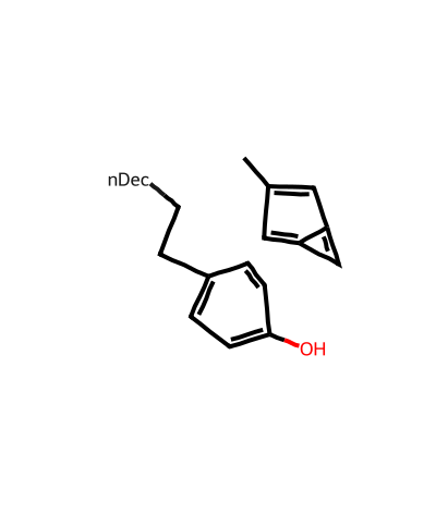 CCCCCCCCCCCCc1ccc(O)cc1.Cc1cc2cc-2c1